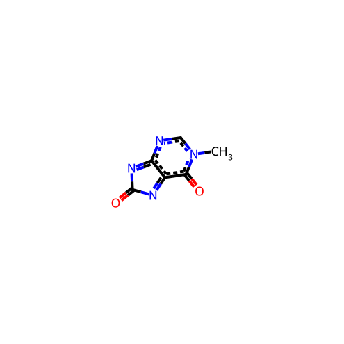 Cn1cnc2c(c1=O)=NC(=O)N=2